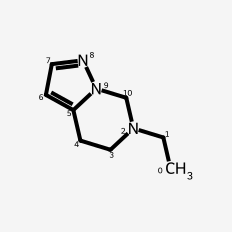 CCN1CCc2ccnn2C1